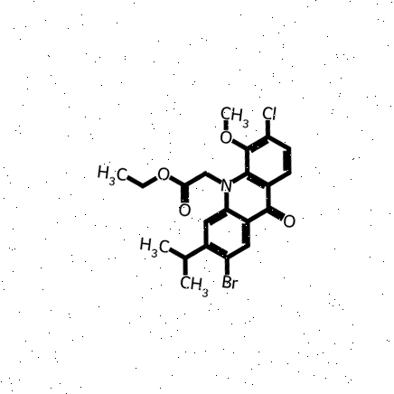 CCOC(=O)Cn1c2cc(C(C)C)c(Br)cc2c(=O)c2ccc(Cl)c(OC)c21